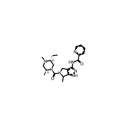 CC[C@@H]1CN(C(=O)N2Cc3c(NC(=O)c4ccccn4)n[nH]c3C2C)[C@@H](C)CN1C